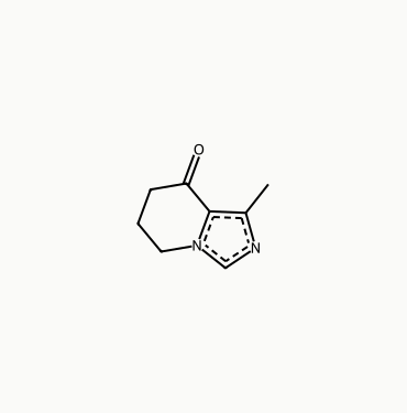 Cc1ncn2c1C(=O)CCC2